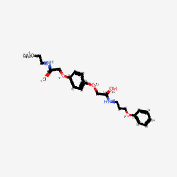 COCCNC(=O)COc1ccc(OCC(O)NCCCOc2ccccc2)cc1